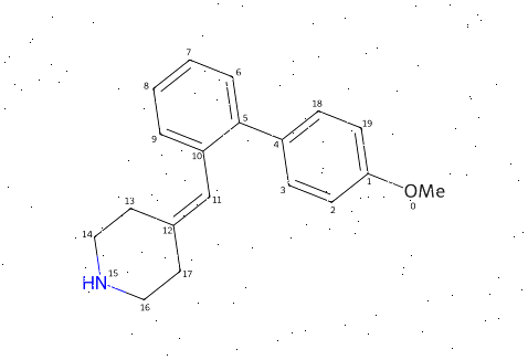 COc1ccc(-c2ccccc2C=C2CCNCC2)cc1